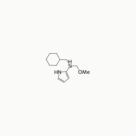 COC[SiH](CC1CCCCC1)c1ccc[nH]1